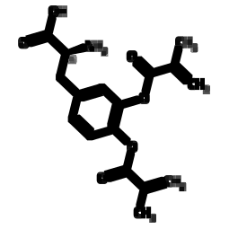 C=C(C)C(=O)Oc1ccc(C[C@H](N)C(=O)O)cc1OC(=O)C(=C)C